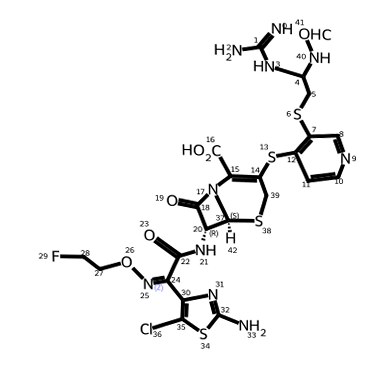 N=C(N)NC(CSc1cnccc1SC1=C(C(=O)O)N2C(=O)[C@@H](NC(=O)/C(=N\OCCF)c3nc(N)sc3Cl)[C@@H]2SC1)NC=O